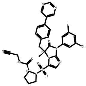 C[C@@]1(Cc2ccc(-c3cncnc3)cc2)C(=O)N(c2cc(Cl)cc(Cl)c2)c2ncc(S(=O)(=O)N3CCC[C@H]3C(=O)NCC#N)n21